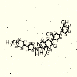 CCn1c(=O)c(-c2ccc(-c3ccnc(C)n3)cc2Cl)cc2cnc(Nc3ccc(C4CCN(C)CC4)cc3)nc21